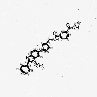 CC(C)NC(=O)c1cccc(C(=O)NCc2cnn(-c3ccc4nc(-c5cccnc5)n(C)c4c3)c2)n1